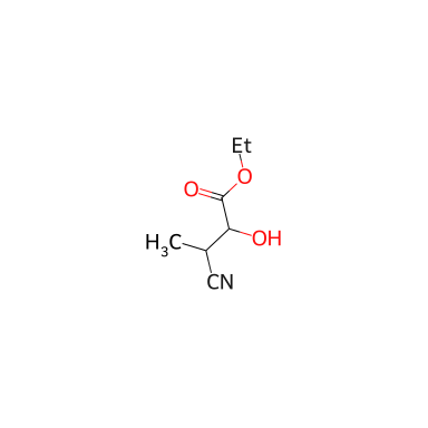 CCOC(=O)C(O)C(C)C#N